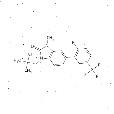 Cn1c(=O)n(CC(C)(C)C)c2ccc(-c3cc(C(F)(F)F)ccc3F)cc21